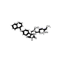 C=C(/C=C\C(=C/C)OC)CN(C=O)C[C@@]1(c2ccc(Oc3ccnc4ccccc34)cc2)NC(=O)NC1=O